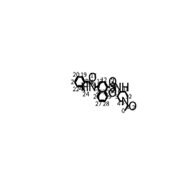 CC(=O)N1CCC(NS(=O)(=O)c2ccc(NC(=O)c3ccccc3C)c3ccccc23)CC1